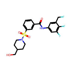 O=C(Nc1cc(F)c(F)c(CF)c1)c1cccc(S(=O)(=O)N2CCC(CO)CC2)c1